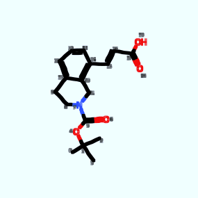 CC(C)(C)OC(=O)N1CCc2cccc(/C=C/C(=O)O)c2C1